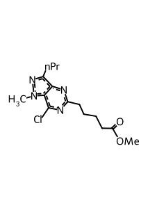 CCCc1nn(C)c2c(Cl)nc(CCCCC(=O)OC)nc12